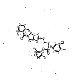 Cc1ccc(N(CCCN2CC3CN(C(=O)c4c(C)ccnc4C)CC3C2)C(=O)Oc2c(C)noc2C)cc1Cl